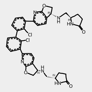 O=C1CC[C@H](CN[C@H]2COc3nc(-c4cccc(-c5cccc(-c6ccc7c(n6)OC[C@H]7NC[C@@H]6CCC(=O)N6)c5Cl)c4Cl)ccc32)N1